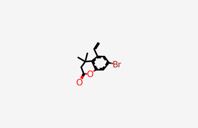 C=Cc1cc(Br)cc2c1C(C)(C)CC(=O)O2